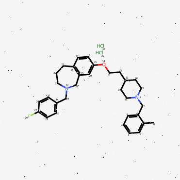 Cc1ccccc1CN1CCC(CCOc2ccc3c(c2)CN(Cc2ccc(F)cc2)CCC3)CC1.Cl.Cl